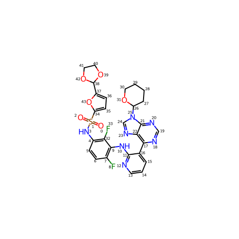 O=S(=O)(Nc1ccc(F)c(Nc2ncccc2-c2ncnc3c2ncn3C2CCCCO2)c1F)c1ccc(C2OCCO2)o1